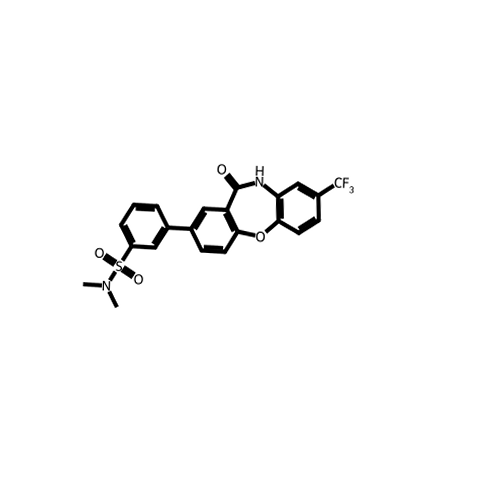 CN(C)S(=O)(=O)c1cccc(-c2ccc3c(c2)C(=O)Nc2cc(C(F)(F)F)ccc2O3)c1